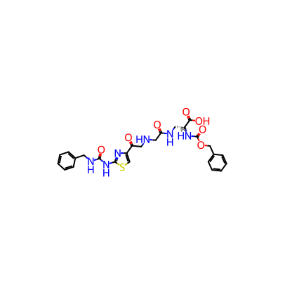 O=C(CNCC(=O)c1csc(NC(=O)NCc2ccccc2)n1)NC[C@@H](NC(=O)OCc1ccccc1)C(=O)O